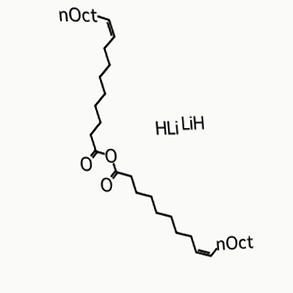 CCCCCCCC/C=C\CCCCCCCC(=O)OC(=O)CCCCCCC/C=C\CCCCCCCC.[LiH].[LiH]